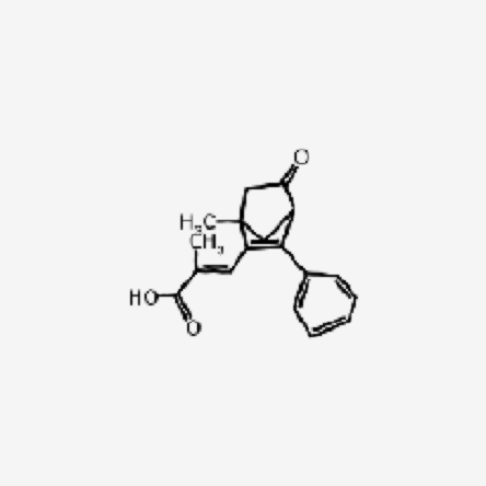 CC(=CC1=C(c2ccccc2)C2CC1(C)CC2=O)C(=O)O